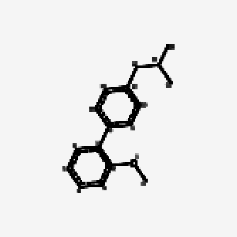 COc1ccccc1-c1ccc(CC(C)C)cc1